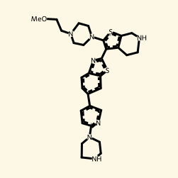 COCCN1CCN(c2sc3c(c2-c2nc4ccc(-c5ccc(N6CCNCC6)nc5)cc4s2)CCNC3)CC1